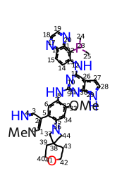 CN/C=C(\C=N)c1cc(Nc2nc(Nc3ccc4nccnc4c3P(C)C)c3cc[nH]c3n2)c(OC)cc1N1CC2(CCOCC2)C1